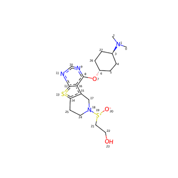 CN(C)[C@H]1CC[C@H](Oc2ncnc3sc4c(c23)CN([S+]([O-])CCO)CC4)CC1